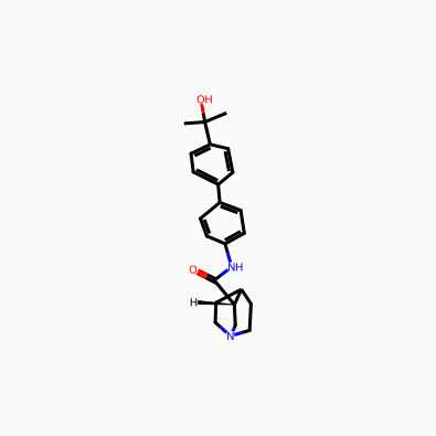 CC(C)(O)c1ccc(-c2ccc(NC(=O)[C@H]3CN4CCC3CC4)cc2)cc1